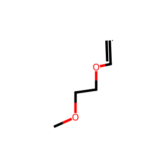 [CH]=COCCOC